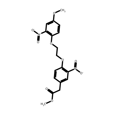 COC(=O)Cc1ccc(OCCOc2ccc(OC)cc2[N+](=O)[O-])c([N+](=O)[O-])c1